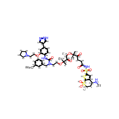 CCN[C@H]1C[C@H](C)S(=O)(=O)c2sc(S(=O)(=O)NC(=O)CCC(=O)C(C)(CC)O[C@@H](C)C(=O)C(C)(CC)OCCN(Cc3cccc(OC)c3)C(=O)Nc3ccc(-c4cn[nH]c4)cc3OCCN3CCCC3)cc21